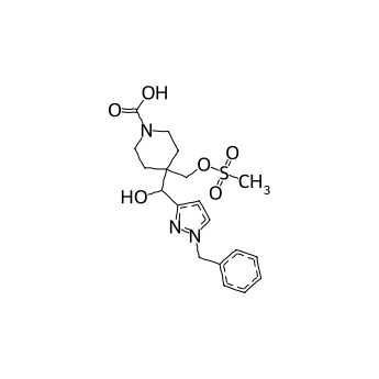 CS(=O)(=O)OCC1(C(O)c2ccn(Cc3ccccc3)n2)CCN(C(=O)O)CC1